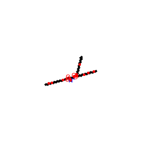 CCCCCCCCCCCCCCCCOC(=O)C(CCC(=O)OC(CCCCCCCCCCCCCC)CCCCCCCCCCCCCC)[N+](C)(C)C